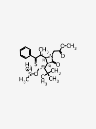 COC(=O)CN1C(=O)[C@@H]([C@@H](CO[SiH](C)C)C(C)(C)C)[C@H]1[C@H](C)C(=S)c1ccccc1